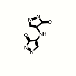 O=C1N=NC=C1NC1=CN=NC1=O